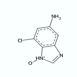 Nc1cc(Cl)c2c(c1)N=C[NH+]2[O-]